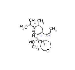 C=C(C)NC(=C)CC(/C(=C\C)C1CCCOCC1)=C(\C)C(=C)BC